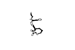 CCOC(=O)OC1CCCOS1(=O)=O